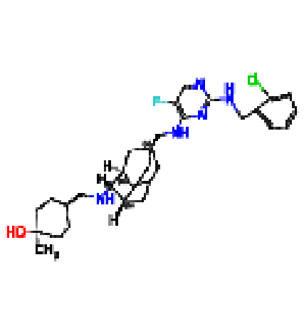 C[C@]1(O)CC[C@@H](CN[C@@H]2[C@@H]3CC4C[C@H]2C[C@@](CNc2nc(NCc5ccccc5Cl)ncc2F)(C4)C3)CC1